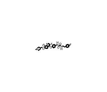 COc1c(OCC2CCN(C)CC2)ccc2c(Oc3ccc(NC(=O)C(=O)NCCc4ccc(F)cc4)cc3F)ccnc12